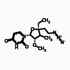 CC[C@@]1(CCN=[N+]=[N-])O[C@@H](n2ccc(=O)[nH]c2=O)[C@@H](OC)C1C